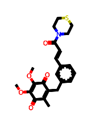 COC1=C(OC)C(=O)C(Cc2cccc(C=CC(=O)N3CCSCC3)c2)=C(C)C1=O